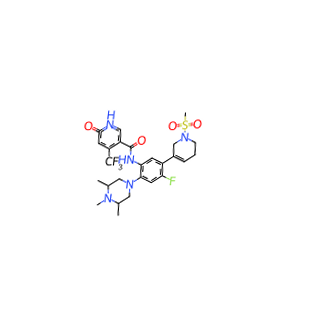 CC1CN(c2cc(F)c(C3=CCCN(S(C)(=O)=O)C3)cc2NC(=O)c2c[nH]c(=O)cc2C(F)(F)F)CC(C)N1C